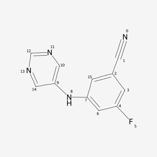 N#Cc1cc(F)cc(Nc2cncnc2)c1